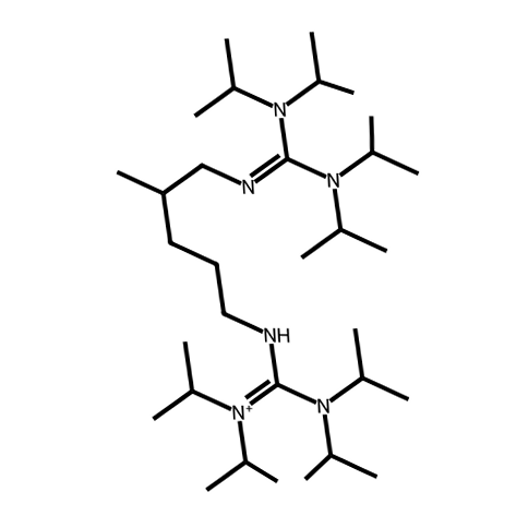 CC(CCCNC(N(C(C)C)C(C)C)=[N+](C(C)C)C(C)C)CN=C(N(C(C)C)C(C)C)N(C(C)C)C(C)C